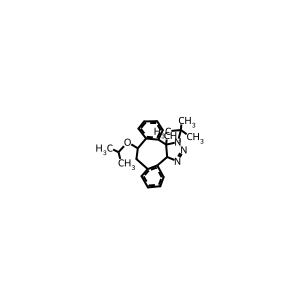 CC(C)OC1Cc2ccccc2C2N=NN(C(C)(C)C)C2(C)c2ccccc21